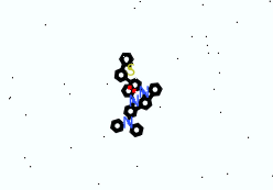 c1ccc(N(c2ccccc2)c2ccc3c(c2)c2ccc4c5ccccc5n(-c5ccc(-c6cccc7c6sc6ccccc67)cc5)c4c2n3-c2ccccc2)cc1